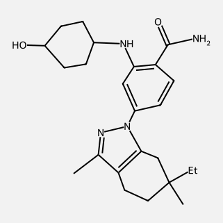 CCC1(C)CCc2c(C)nn(-c3ccc(C(N)=O)c(NC4CCC(O)CC4)c3)c2C1